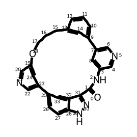 O=C1Nc2cncc(c2)-c2cccc(c2)CCCOc2cncc(c2)-c2ccc3[nH]nc1c3c2